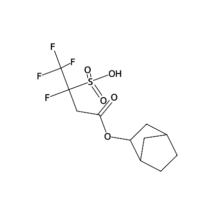 O=C(CC(F)(C(F)(F)F)S(=O)(=O)O)OC1CC2CCC1C2